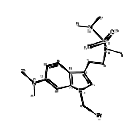 CC(C)Cn1cc(CCN(C)S(=O)(=O)N(C)C)c2ccc(N(C)C)cc21